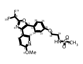 COc1ccc(-c2nc(C(F)F)oc2-c2ccc(OCCNS(C)(=O)=O)cc2)cn1